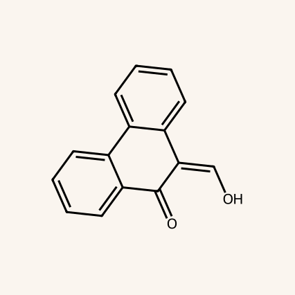 O=C1/C(=C\O)c2ccccc2-c2ccccc21